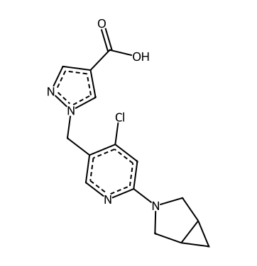 O=C(O)c1cnn(Cc2cnc(N3CC4CC4C3)cc2Cl)c1